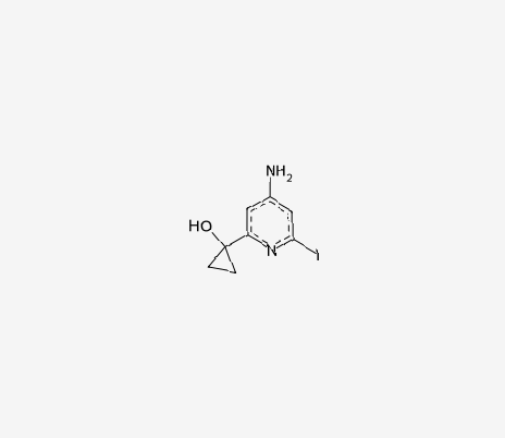 Nc1cc(I)nc(C2(O)CC2)c1